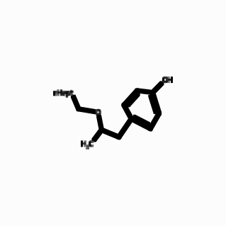 CCCCCCCCOC(C)Cc1ccc(O)cc1